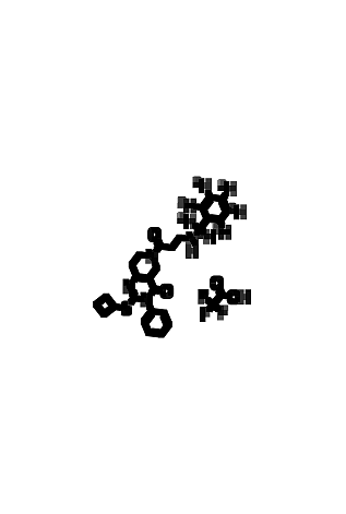 O=C(O)C(F)(F)F.[2H]c1c([2H])c([2H])c(C([2H])([2H])NCCC(=O)N2CCc3nc(SC4CCC4)n(-c4ccccc4)c(=O)c3C2)c([2H])c1[2H]